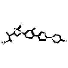 CC(C(N)=O)C1CN(c2ccc(-c3ccc(N4CCC(=O)CC4)nc3)c(F)c2)C(=O)O1